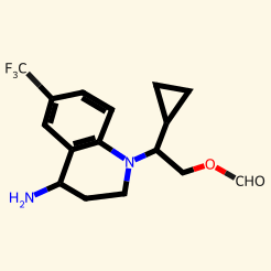 NC1CCN(C(COC=O)C2CC2)c2ccc(C(F)(F)F)cc21